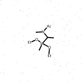 CCO[Si](C)(OCC)C(C)N(C)C(C)=O